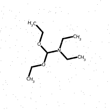 CCOC(OCC)N(CC)CC